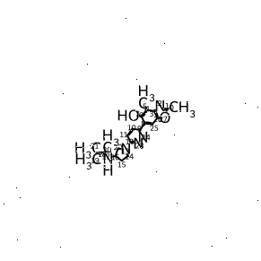 Cc1nc2c(C)c(O)c(-c3ccc(N4CCC(NC(C)(C)C)C4)nn3)cc2o1